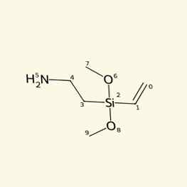 C=C[Si](CCN)(OC)OC